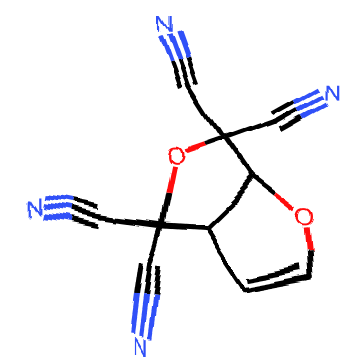 N#CC1(C#N)OC(C#N)(C#N)C2OC=CC21